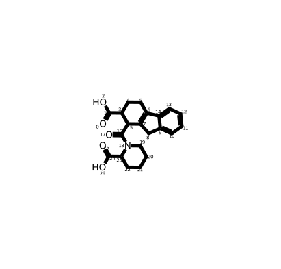 O=C(O)C1CCC2=C(Cc3ccccc32)C1C(=O)N1CCCCC1C(=O)O